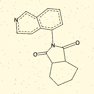 O=C1C2CCCCC2C(=O)N1c1cccc2cnccc12